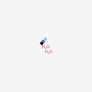 C#N.O.O